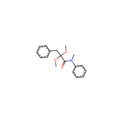 COC(Cc1ccccc1)(OC)C(=O)N(C)c1ccccc1